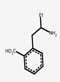 CCC(N)Cc1ccccc1C(=O)O